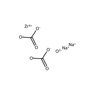 O=C([O-])[O-].O=C([O-])[O-].[Na+].[Na+].[O-2].[Zr+4]